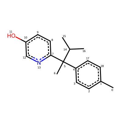 Cc1ccc(C(C)(c2ccc(O)cn2)C(C)C)cc1